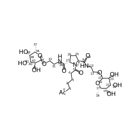 CC(=O)CCCCC(=O)N1[C@H](C(=O)NCCO[C@@H]2O[C@@H](C)[C@@H](O)[C@@H](O)[C@@H]2O)CC[C@H]1C(=O)NCCO[C@@H]1O[C@@H](C)[C@@H](O)[C@@H](O)[C@@H]1O